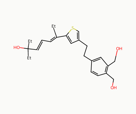 CCC(=CC=CC(O)(CC)CC)c1cc(CCc2ccc(CO)c(CO)c2)cs1